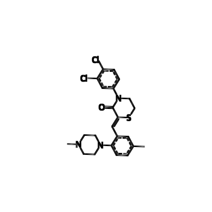 Cc1ccc(N2CCN(C)CC2)c(C=C2SCCN(c3ccc(Cl)c(Cl)c3)C2=O)c1